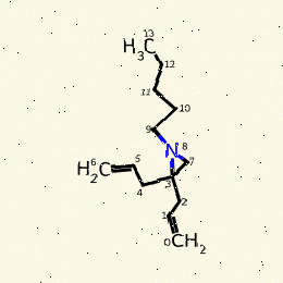 C=CCC1(CC=C)CN1CCCCC